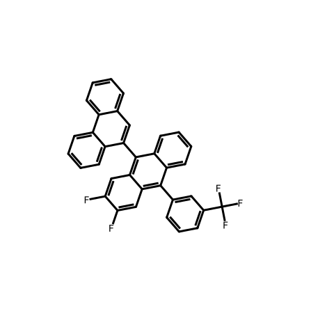 Fc1cc2c(-c3cccc(C(F)(F)F)c3)c3ccccc3c(-c3cc4ccccc4c4ccccc34)c2cc1F